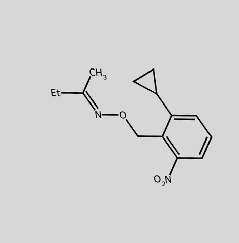 CCC(C)=NOCc1c(C2CC2)cccc1[N+](=O)[O-]